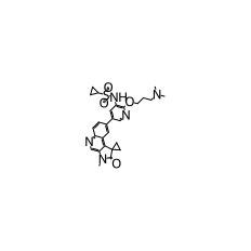 CN(C)CCCOc1ncc(-c2ccc3ncc4c(c3c2)C2(CC2)C(=O)N4C)cc1NS(=O)(=O)C1CC1